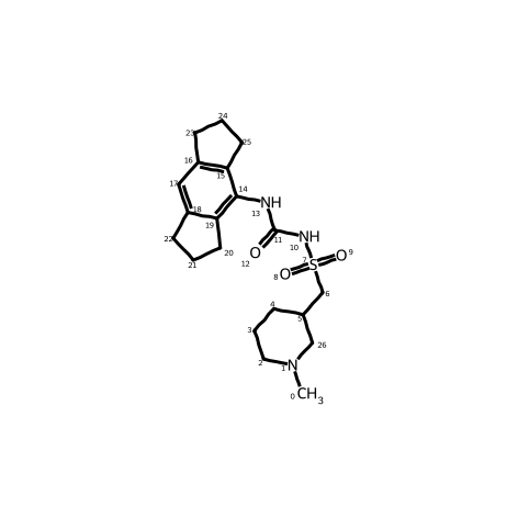 CN1CCCC(CS(=O)(=O)NC(=O)Nc2c3c(cc4c2CCC4)CCC3)C1